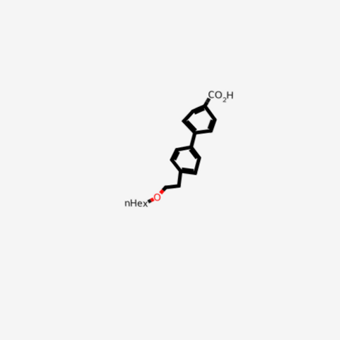 CCCCCCOCCc1ccc(-c2ccc(C(=O)O)cc2)cc1